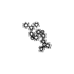 c1ccc(-c2cc(-c3ccccc3)cc(-c3ccc4oc5cccc(-c6cccc7oc8ccc(-c9ccc%10c(c9)c9ccccc9n%10-c9ccccc9)cc8c67)c5c4c3)c2)cc1